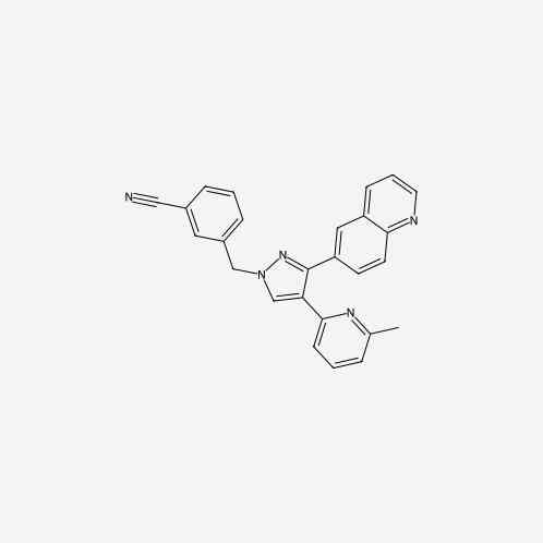 Cc1cccc(-c2cn(Cc3cccc(C#N)c3)nc2-c2ccc3ncccc3c2)n1